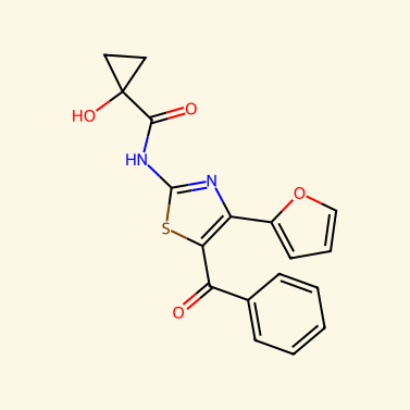 O=C(c1ccccc1)c1sc(NC(=O)C2(O)CC2)nc1-c1ccco1